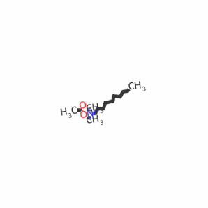 CCCCCCCCCC[N+](C)(C)OC(C)=O